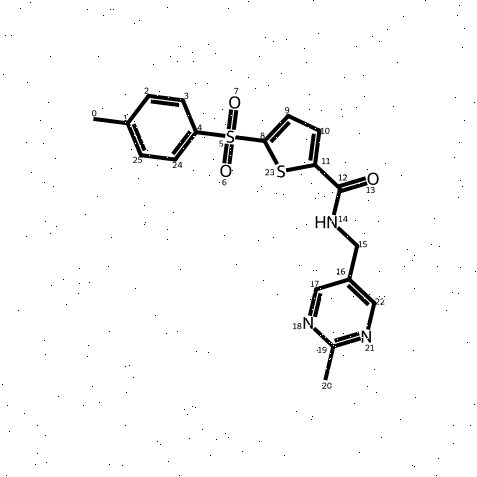 Cc1ccc(S(=O)(=O)c2ccc(C(=O)NCc3cnc(C)nc3)s2)cc1